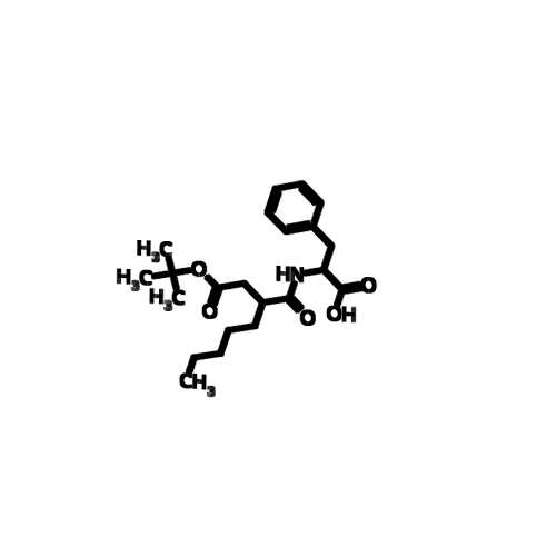 CCCCCC(CC(=O)OC(C)(C)C)C(=O)NC(Cc1ccccc1)C(=O)O